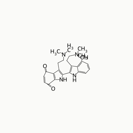 CN(C)CCc1c(-c2[nH]c3cccc(O)c3c2CCN(C)C)[nH]c2c1C(=O)C=CC2=O